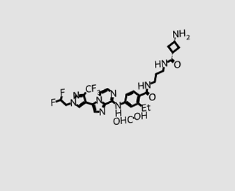 CCc1cc(Nc2nccn3c(-c4cn(CC(F)F)nc4C(F)(F)F)cnc23)ccc1C(=O)NCCCNC(=O)[C@H]1C[C@@H](N)C1.O=CO